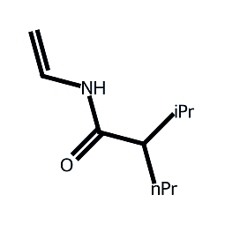 C=CNC(=O)C(CCC)C(C)C